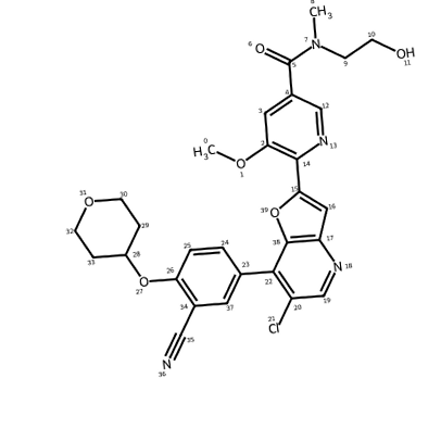 COc1cc(C(=O)N(C)CCO)cnc1-c1cc2ncc(Cl)c(-c3ccc(OC4CCOCC4)c(C#N)c3)c2o1